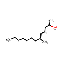 CCCCCCCC(C)=CCCC(C)O